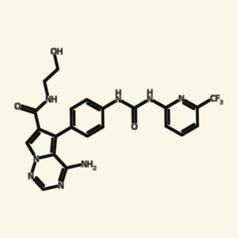 Nc1ncnn2cc(C(=O)NCCO)c(-c3ccc(NC(=O)Nc4cccc(C(F)(F)F)n4)cc3)c12